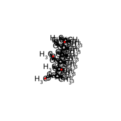 CCOC(=O)COc1ccc(C(C)(C)C)cc1Cc1cc(C(C)(C)C)cc(Cc2cc(C(C)(C)C)cc(Cc3cc(C(C)(C)C)cc(Cc4cc(C(C)(C)C)cc(Cc5cc(C(C)(C)C)ccc5OC)c4OCC(=O)OCC)c3OC)c2OCC(=O)OCC)c1OC